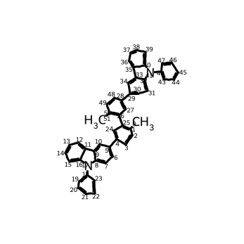 Cc1ccc(-c2ccc3c(c2)c2ccccc2n3-c2ccccc2)cc1-c1cc(-c2ccc3c(c2)c2ccccc2n3-c2ccccc2)ccc1C